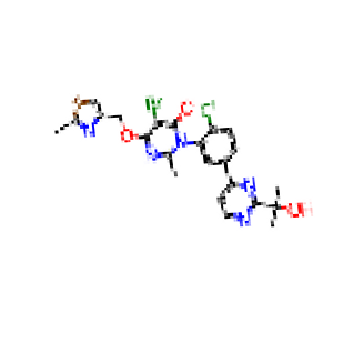 Cc1nc(COc2nc(C)n(-c3cc(-c4ccnc(C(C)(C)O)n4)ccc3Cl)c(=O)c2Br)cs1